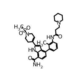 Cc1c(NC(=O)CCN2CCCCC2)cccc1-c1ccc(C(N)=O)c2[nH]c(C3=CCN(S(C)(=O)=O)CC3)cc12